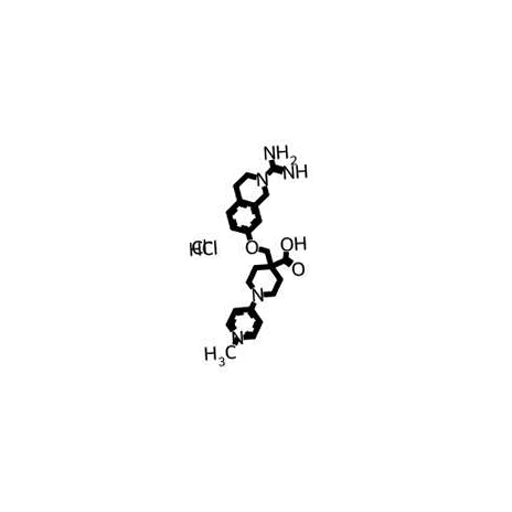 C[n+]1ccc(N2CCC(COc3ccc4c(c3)CN(C(=N)N)CC4)(C(=O)O)CC2)cc1.Cl.[Cl-]